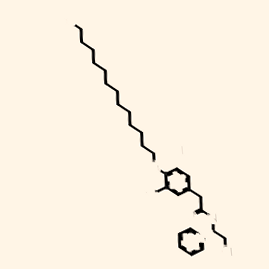 CCCCCCCCCCCCCCOc1ccc(CC(=O)NC(CC)[n+]2ccccc2)cc1Cl.[I-]